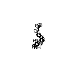 COc1cc2[nH]ncc2cc1Nc1ncnc2sc3c(c12)CCN(C(=O)CCCS(C)(=O)=O)C3